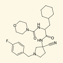 N#CC1(NC(=O)C(CC2CCCCC2)NC(=O)N2CCOCC2)CCN(Cc2ccc(F)cc2)C1